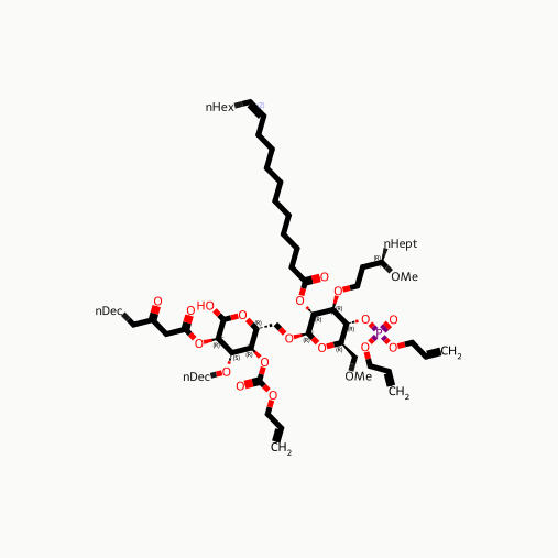 C=CCOC(=O)O[C@H]1[C@H](OCCCCCCCCCC)[C@@H](OC(=O)CC(=O)CCCCCCCCCCC)C(O)O[C@@H]1CO[C@@H]1O[C@H](COC)[C@@H](OP(=O)(OCC=C)OCC=C)[C@H](OCC[C@@H](CCCCCCC)OC)[C@H]1OC(=O)CCCCCCCCC/C=C\CCCCCC